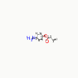 C=CCC(=O)OC1CCC(N)CC1